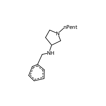 CCCCCN1CCC(NCc2ccccc2)C1